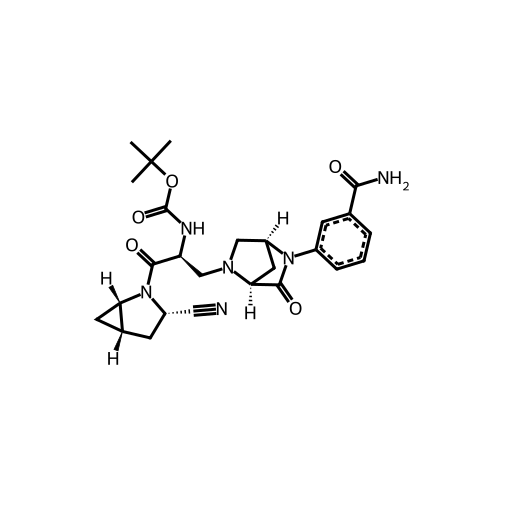 CC(C)(C)OC(=O)N[C@@H](CN1C[C@@H]2C[C@H]1C(=O)N2c1cccc(C(N)=O)c1)C(=O)N1[C@H](C#N)C[C@@H]2C[C@@H]21